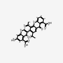 CC(=O)c1cc2c(=O)c3c(C(=O)O)cccc3oc2c(C(C)=O)c1-c1coc2cc(O)cc(C(=O)O)c2c1=O